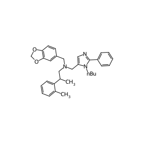 CCCCn1c(CN(Cc2ccc3c(c2)OCO3)CC(C)c2ccccc2C)cnc1-c1ccccc1